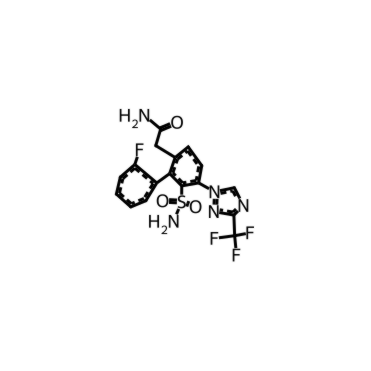 NC(=O)Cc1ccc(-n2cnc(C(F)(F)F)n2)c(S(N)(=O)=O)c1-c1ccccc1F